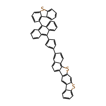 c1ccc2c(c1)sc1cc3sc4c5ccc(-c6ccc(-c7c8ccccc8c(-c8cccc9sc%10ccccc%10c89)c8ccccc78)cc6)cc5ccc4c3cc12